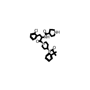 CC1(C)C(=O)N(C2CCN(C(=O)C(Cc3ccccc3Cl)NC(=O)C3CCNCC3)CC2)c2ccccc21